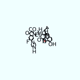 CCn1cc(C(=O)O)c(=O)c2cc(F)c(N3CCNCC3)cc21.O=C1CC[C@@]2(O)[C@H]3Cc4ccc(O)c5c4[C@@]2(CCN3CC2CC2)[C@H]1O5